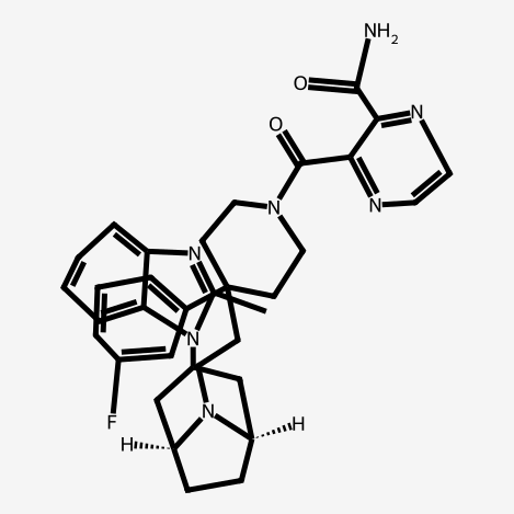 Cc1nc2ccccc2n1C1C[C@H]2CC[C@@H](C1)N2CCC1(c2cccc(F)c2)CCN(C(=O)c2nccnc2C(N)=O)CC1